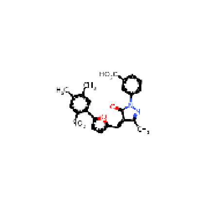 CC1=NN(c2cccc(C(=O)O)c2)C(=O)C1=Cc1ccc(-c2cc(C)c(C)cc2[N+](=O)[O-])o1